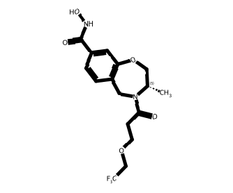 C[C@H]1COc2cc(C(=O)NO)ccc2CN1C(=O)CCOCC(F)(F)F